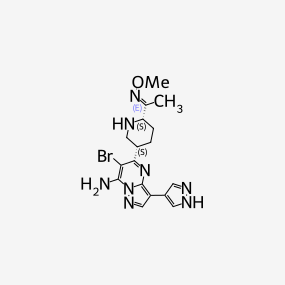 CO/N=C(\C)[C@@H]1CC[C@H](c2nc3c(-c4cn[nH]c4)cnn3c(N)c2Br)CN1